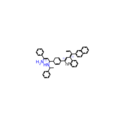 C=C/C(=C(\C=C(/CCC)C1=CCC(C(/C=C(\N)c2ccccc2)NC(C)c2ccccc2)C=C1)c1ccccc1)c1ccc2ccccc2c1